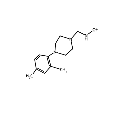 Cc1ccc(N2CCN(CNO)CC2)c(C)c1